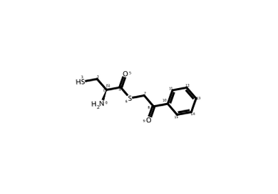 N[C@@H](CS)C(=O)SCC(=O)c1ccccc1